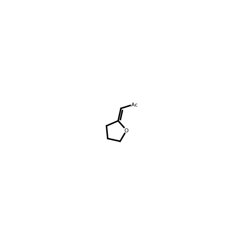 CC(=O)C=C1CCCO1